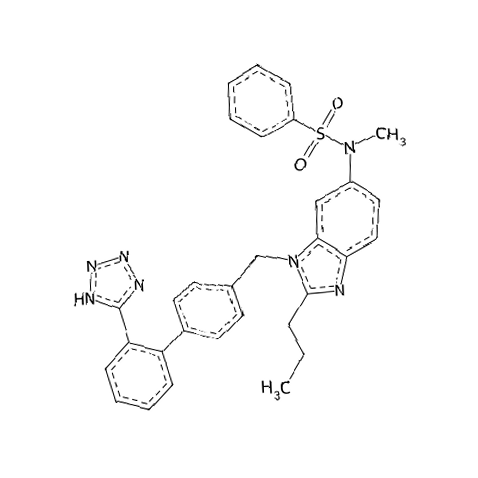 CCCc1nc2ccc(N(C)S(=O)(=O)c3ccccc3)cc2n1Cc1ccc(-c2ccccc2-c2nnn[nH]2)cc1